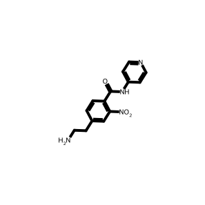 NCCc1ccc(C(=O)Nc2ccncc2)c([N+](=O)[O-])c1